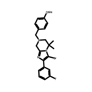 COc1ccc(CN2Cc3nc(-c4cccc(F)c4)c(Br)n3C(C)(C)C2)cc1